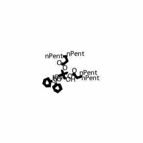 CCCCCC(CCCCC)CC(=O)OCC(CO)(COC(=O)CC(CCCCC)CCCCC)CO[Si](c1ccccc1)(c1ccccc1)C(C)(C)C